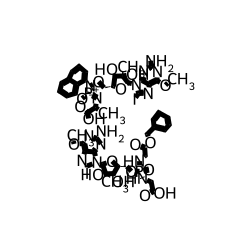 COc1nc(N)nc2c1nc(I)n2C1O[C@H](CON(c2cccc3ccccc23)/[P+]([O-])=N/C(C)C(=O)O)[C@@H](O)[C@@]1(C)O.COc1nc(N)nc2c1nc(I)n2[C@@H]1O[C@H](COP(=O)(NCC(=O)O)NCC(=O)OCc2ccccc2)[C@@H](O)[C@@]1(C)O